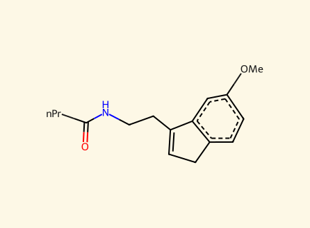 CCCC(=O)NCCC1=CCc2ccc(OC)cc21